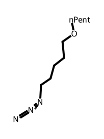 CCCCCOCCCCCN=[N+]=[N-]